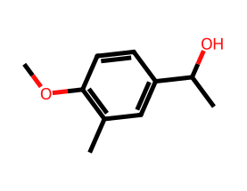 COc1ccc(C(C)O)cc1C